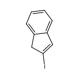 IC1=Cc2ccccc2C1